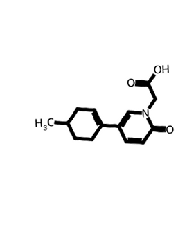 CC1CC=C(c2ccc(=O)n(CC(=O)O)c2)CC1